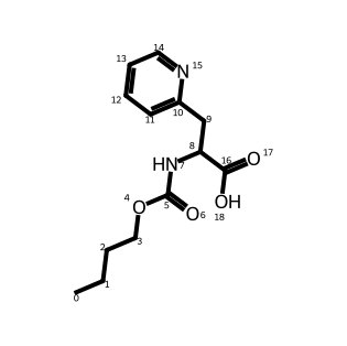 CCCCOC(=O)NC(Cc1ccccn1)C(=O)O